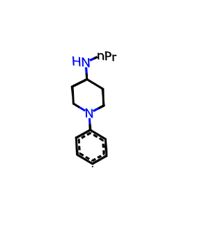 CCCNC1CCN(c2cc[c]cc2)CC1